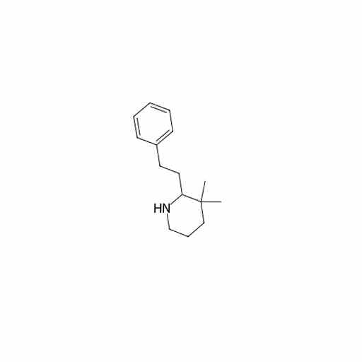 CC1(C)CCCNC1CCc1ccccc1